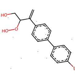 C=C(c1ccc(-c2ccc(Br)cc2)cc1)C(CO)OO